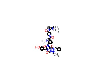 C=CCN1CC(=O)N2[C@@H](Cc3ccc(O)cc3)C(=O)N(Cc3cccc4c(C(=O)N5CCC(C(=O)N(C)CCN(C)C)CC5)cn(C)c34)C[C@@H]2N1C(=O)NCc1ccccc1